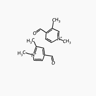 Cc1c[n+](C)ccc1C=O.Cc1cc(C=O)cc[n+]1C